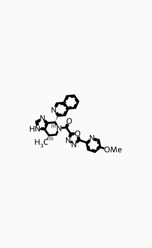 COc1ccc(-c2nnc(C(=O)N3C[C@H](C)c4[nH]cnc4[C@@H]3c3cc4ccccc4cn3)o2)nc1